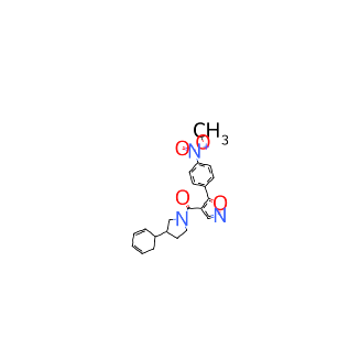 CO[N+](=O)c1ccc(-c2oncc2C(=O)N2CCC(C3C=CC=CC3)C2)cc1